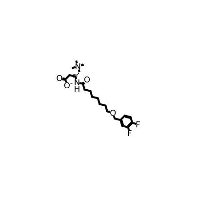 C[N+](C)(C)C[C@@H](CC(=O)[O-])NC(=O)CCCCCCCOCc1ccc(F)c(F)c1